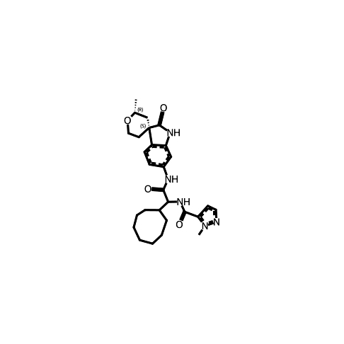 C[C@@H]1C[C@]2(CCO1)C(=O)Nc1cc(NC(=O)C(NC(=O)c3ccnn3C)C3CCCCCCC3)ccc12